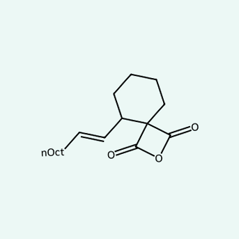 CCCCCCCCC=CC1CCCCC12C(=O)OC2=O